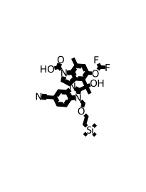 Cc1cc(OC(F)F)c(C(C)(O)c2nc3cc(C#N)ccc3n2COCC[Si](C)(C)C)c2ccn(C(=O)O)c12